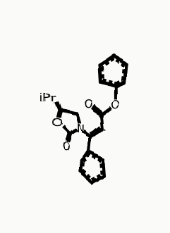 CC(C)C1CN(C(=[C]C(=O)Oc2ccccc2)c2ccccc2)C(=O)O1